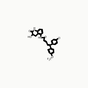 O=C(/C=C/C=C(\c1ccc(Cl)cc1)c1ccc(OC(F)(F)F)cc1)Nc1cccc2c1CC(O)C(=O)N2